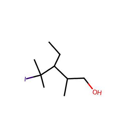 CCC(C(C)CO)C(C)(C)I